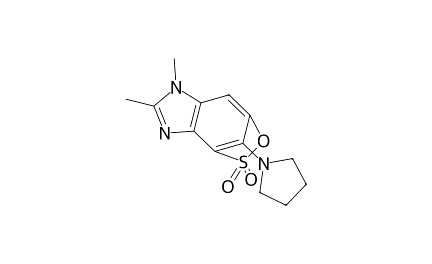 Cc1nc2c3c(N4CCCC4)c(cc2n1C)OS3(=O)=O